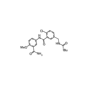 COc1ccc(NC(=O)c2cc(CNC(=O)C(C)(C)C)ccc2Cl)cc1C(N)=O